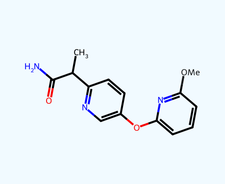 COc1cccc(Oc2ccc(C(C)C(N)=O)nc2)n1